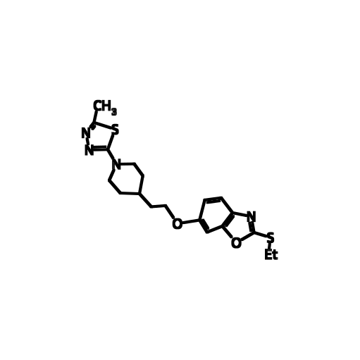 CCSc1nc2ccc(OCCC3CCN(c4nnc(C)s4)CC3)cc2o1